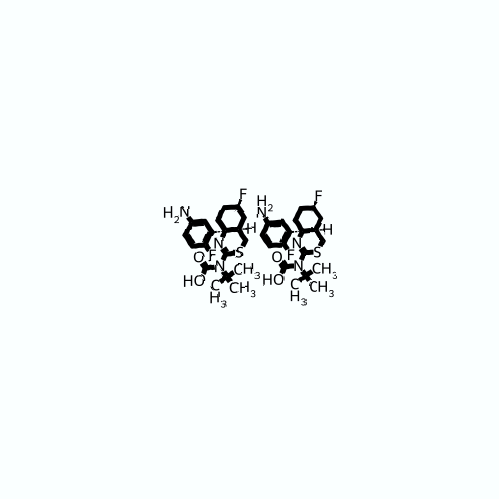 CC(C)(C)N(C(=O)O)C1=N[C@@]2(c3cc(N)ccc3F)CC[C@@H](F)C[C@H]2CS1.CC(C)(C)N(C(=O)O)C1=N[C@@]2(c3cc(N)ccc3F)CC[C@@H](F)C[C@H]2CS1